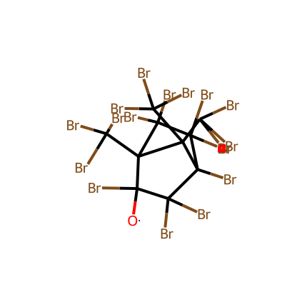 [O]C1(Br)C(Br)(Br)C2(Br)C(Br)(Br)C(Br)(Br)C1(C(Br)(Br)Br)C2(C(Br)(Br)Br)C(Br)(Br)Br